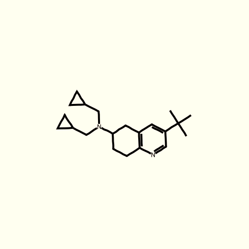 CC(C)(C)c1cnc2c(c1)CC(N(CC1CC1)CC1CC1)CC2